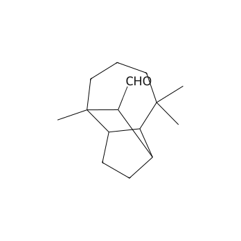 CC1(C)CCCC2(C)C(C=O)C3CCC2C31